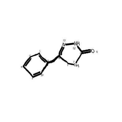 O=C1NCC(c2ccccc2)=NN1